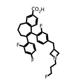 O=C(O)c1ccc2c(c1)CCCC(c1ccc(F)cc1F)=C2c1ccc(CC2CN(CCCF)C2)cc1F